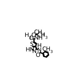 Cc1ccccc1C(=O)Nc1n[nH]c2sc(C(=O)NC(C)(C)C)cc12